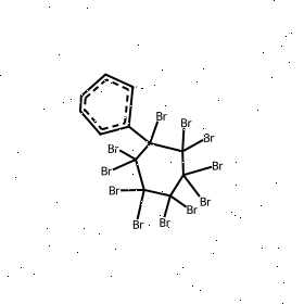 BrC1(Br)C(Br)(Br)C(Br)(Br)C(Br)(c2[c]cccc2)C(Br)(Br)C1(Br)Br